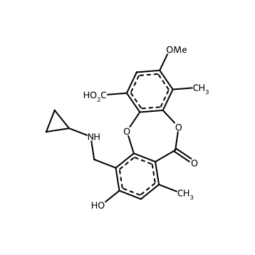 COc1cc(C(=O)O)c2c(c1C)OC(=O)c1c(C)cc(O)c(CNC3CC3)c1O2